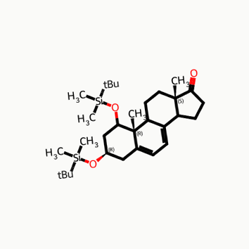 CC(C)(C)[Si](C)(C)OC1C[C@H](O[Si](C)(C)C(C)(C)C)CC2=CC=C3C(CC[C@]4(C)C(=O)CCC34)[C@]21C